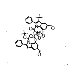 CC(C)(C)OC(=O)n1c(-c2ccccc2)cc2cc(C=O)cc([N+](=O)[O-])c21.CC(C)(C)c1c(-c2ccccc2)n(C(=O)O)c2c([N+](=O)[O-])cc(C=O)cc12